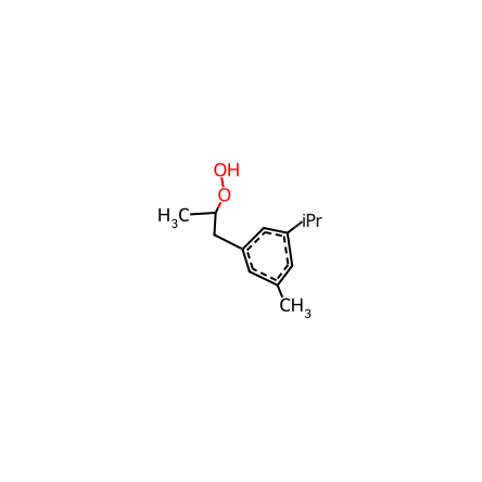 Cc1cc(CC(C)OO)cc(C(C)C)c1